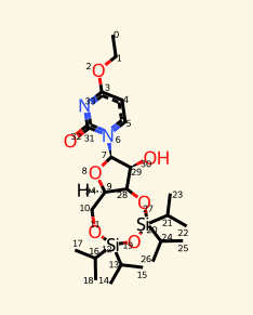 CCOc1ccn([C@@H]2O[C@@H]3CO[Si](C(C)C)(C(C)C)O[Si](C(C)C)(C(C)C)OC3[C@@H]2O)c(=O)n1